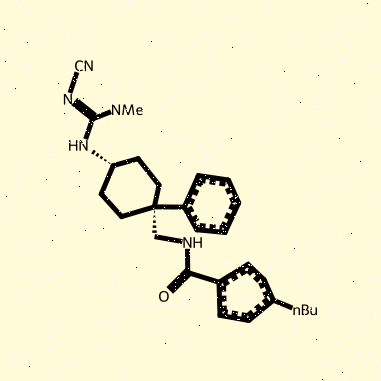 CCCCc1ccc(C(=O)NC[C@]2(c3ccccc3)CC[C@H](N/C(=N/C#N)NC)CC2)cc1